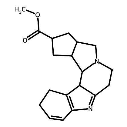 COC(=O)C1CC2CN3CCC4=NC5=C(CCC=C5)C4C3C2C1